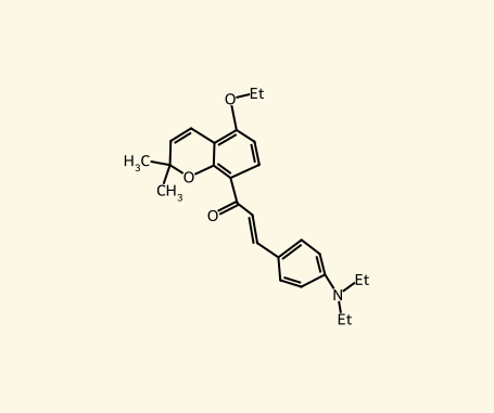 CCOc1ccc(C(=O)C=Cc2ccc(N(CC)CC)cc2)c2c1C=CC(C)(C)O2